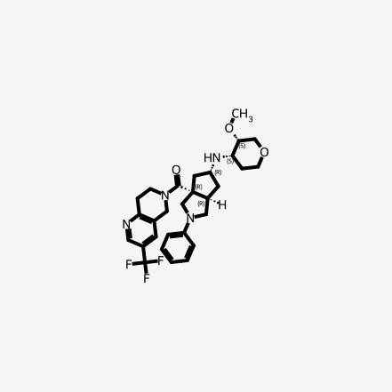 CO[C@@H]1COCC[C@@H]1N[C@@H]1C[C@H]2CN(c3ccccc3)C[C@@]2(C(=O)N2CCc3ncc(C(F)(F)F)cc3C2)C1